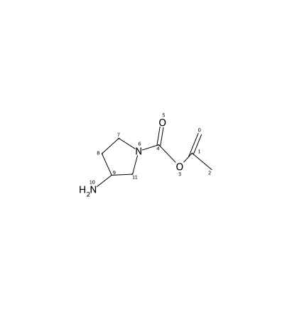 C=C(C)OC(=O)N1CCC(N)C1